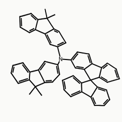 CC1(C)c2ccccc2-c2cc(N(c3ccc4c(c3)-c3ccccc3C4(C)C)c3ccc4c(c3)C3(c5ccccc5-c5ccccc53)c3ccccc3-4)ccc21